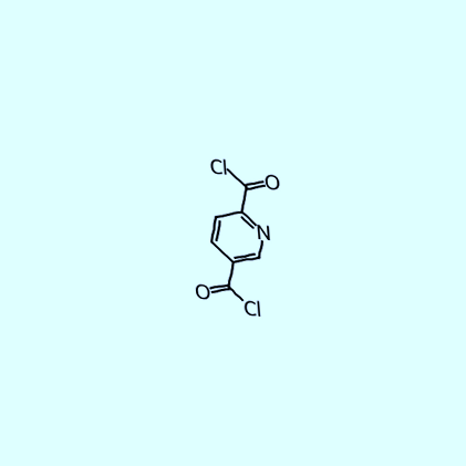 O=C(Cl)c1ccc(C(=O)Cl)nc1